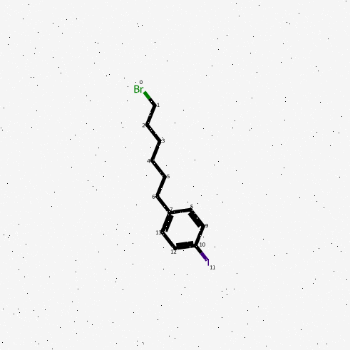 BrCCCCCCc1ccc(I)cc1